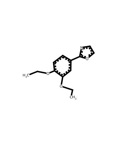 CCOc1ccc(-c2n[c]co2)cc1OCC